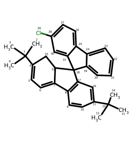 CC(C)(C)C1=CC=C2c3ccc(C(C)(C)C)cc3C3(c4ccccc4-c4ccc(Cl)cc43)C2C1